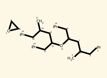 C1CO1.CC(C)CC(C)CC(CC(C)C)OC(CC(C)C)CC(C)CC(C)C